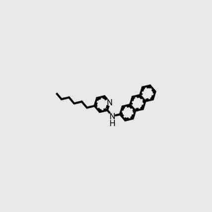 CCCCCCc1ccnc(Nc2ccc3cc4ccccc4cc3c2)c1